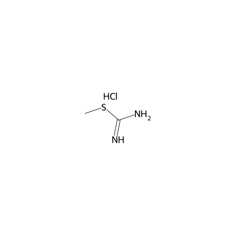 CSC(=N)N.Cl